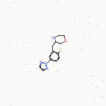 Fc1ccc(-n2nccn2)cc1CC1COCCN1